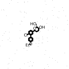 CCOc1ccc(-c2cc(C3CC[C@@H](O)[C@@H](CO)O3)ccc2Cl)cc1